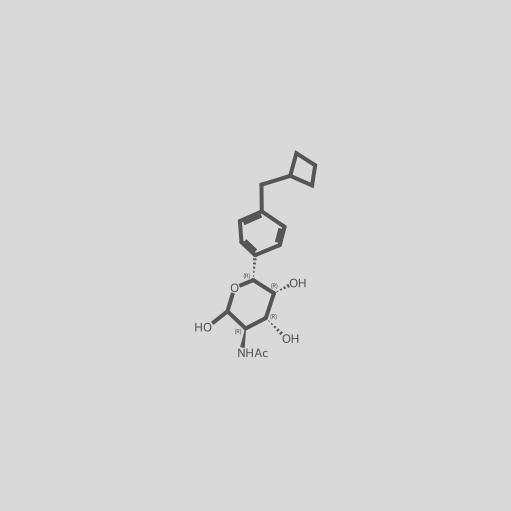 CC(=O)N[C@H]1C(O)O[C@H](c2ccc(CC3CCC3)cc2)[C@H](O)[C@@H]1O